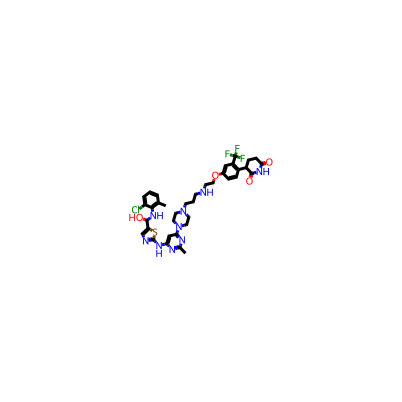 Cc1nc(Nc2ncc(C(O)Nc3c(C)cccc3Cl)s2)cc(N2CCN(CCCNCCOc3ccc(C4CCC(=O)NC4=O)c(C(F)(F)F)c3)CC2)n1